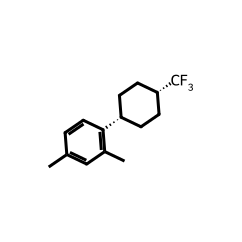 Cc1ccc([C@H]2CC[C@@H](C(F)(F)F)CC2)c(C)c1